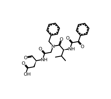 CC(C)[C@H](NC(=O)C(=O)c1ccccc1)C(=O)N(CC(=O)N[C@H](C=O)CC(=O)O)Cc1ccccc1